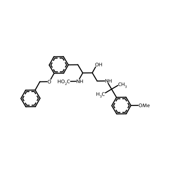 COc1cccc(C(C)(C)NCC(O)C(Cc2cccc(OCc3ccccc3)c2)NC(=O)O)c1